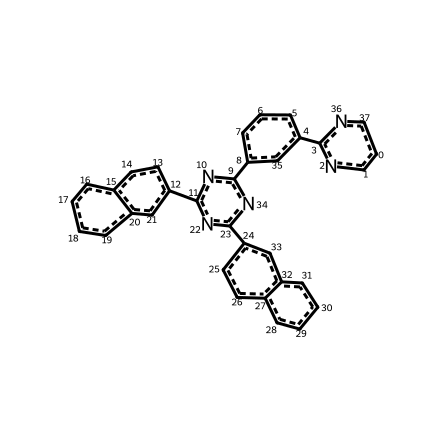 c1cnc(-c2cccc(-c3nc(-c4ccc5ccccc5c4)nc(-c4ccc5ccccc5c4)n3)c2)nc1